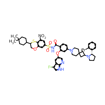 CC(C)c1ccccc1[C@@H]1CCCN1C1CC2(CCN(c3ccc(C(=O)NS(=O)(=O)c4cc5c(c([N+](=O)[O-])c4)SC(C4CCC(C)(C)CC4)CO5)c(Oc4cnc5[nH]cc(F)c5c4)c3)CC2)C1